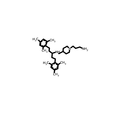 Cc1cc(C)c(CCC(CCc2c(C)cc(C)cc2C)NCC2CCN(CCCN)CC2)c(C)c1